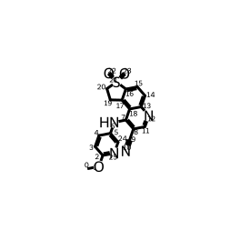 COc1ccc(Nc2c(C#N)cnc3ccc4c(c23)CCS4(=O)=O)cn1